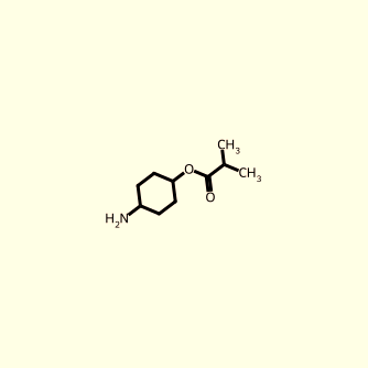 CC(C)C(=O)OC1CCC(N)CC1